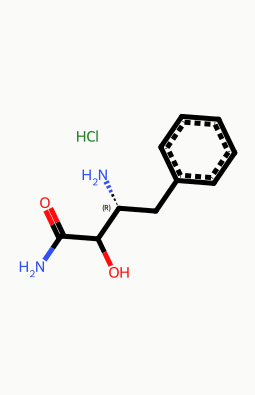 Cl.NC(=O)C(O)[C@H](N)Cc1ccccc1